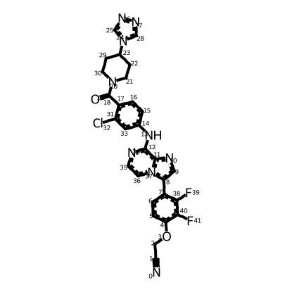 N#CCOc1ccc(-c2cnc3c(Nc4ccc(C(=O)N5CCC(n6cnnc6)CC5)c(Cl)c4)nccn23)c(F)c1F